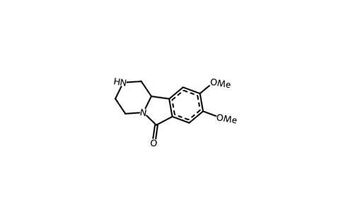 COc1cc2c(cc1OC)C1CNCCN1C2=O